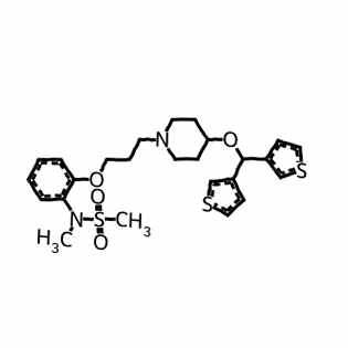 CN(c1ccccc1OCCCN1CCC(OC(c2ccsc2)c2ccsc2)CC1)S(C)(=O)=O